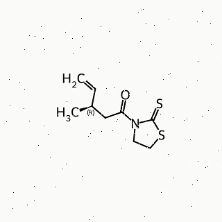 C=C[C@H](C)CC(=O)N1CCSC1=S